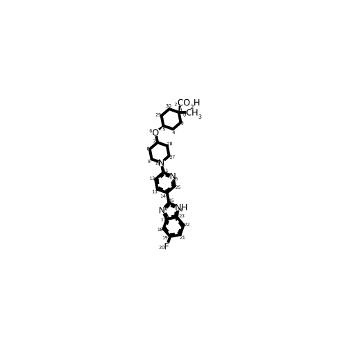 C[C@]1(C(=O)O)CC[C@@H](OC2CCN(c3ccc(-c4nc5cc(F)ccc5[nH]4)cn3)CC2)CC1